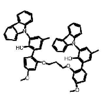 COc1ccc(-c2cc(C)cc(-n3c4ccccc4c4ccccc43)c2O)c(OCCCOc2cc(OC)ccc2-c2cc(C)cc(-n3c4ccccc4c4ccccc43)c2O)c1